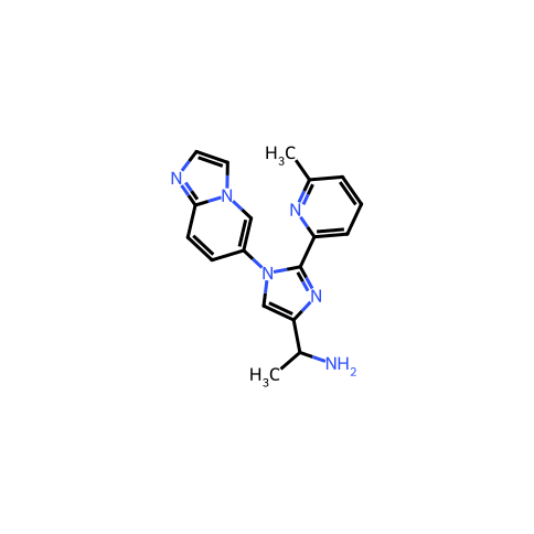 Cc1cccc(-c2nc(C(C)N)cn2-c2ccc3nccn3c2)n1